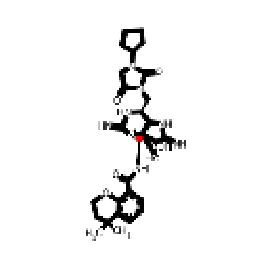 CC1(C)CCOc2c(C(=O)N[C@H]3CN4C(=N)N[C@@H](CN5C(=O)CN(C6CCCC6)C5=O)C5NC(=N)NC54C3(O)O)cccc21